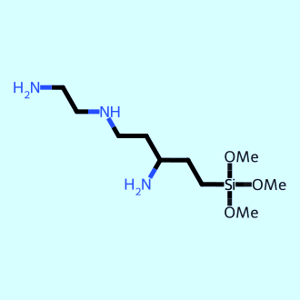 CO[Si](CCC(N)CCNCCN)(OC)OC